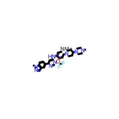 CNC/C=C(Nc1cc(-c2ccc3c(cnn3C)c2)ncn1)\C(=C/CN1CCC(N2CCN(C)CC2)CC1)OC(F)F